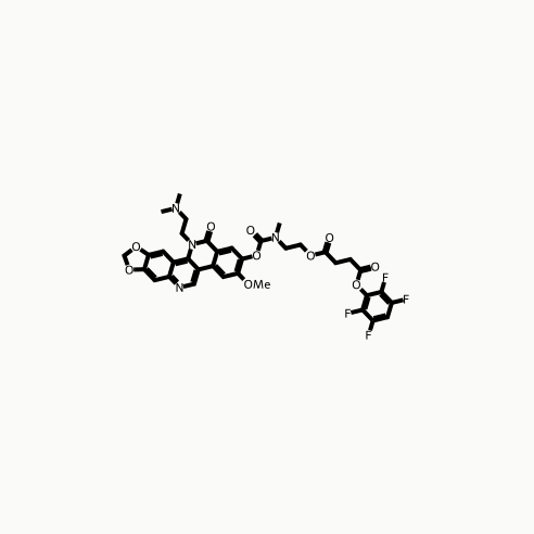 COc1cc2c(cc1OC(=O)N(C)CCOC(=O)CCC(=O)Oc1c(F)c(F)cc(F)c1F)c(=O)n(CCN(C)C)c1c3cc4c(cc3ncc21)OCO4